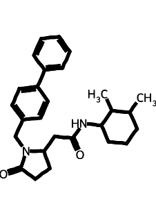 CC1CCCC(NC(=O)CC2CCC(=O)N2Cc2ccc(-c3ccccc3)cc2)C1C